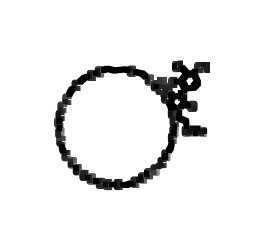 COCCN1C(=O)N(c2ccc(C#N)c(Cl)c2C)C(=O)C12CCCCCCCCCCCCCCCCCCCCCCCCCCCCCCCCCCCCCCCCC2